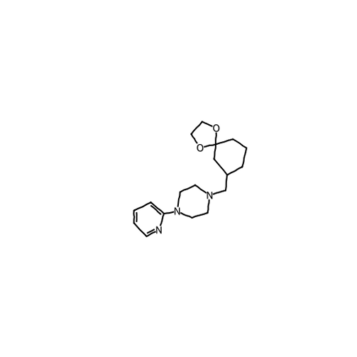 c1ccc(N2CCN(CC3CCCC4(C3)OCCO4)CC2)nc1